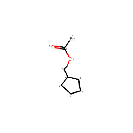 C[CH]C(=O)OCC1CCCC1